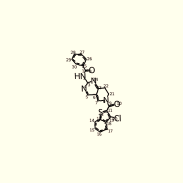 O=C(NC1N=CC2=CN(C(=O)c3sc4ccccc4c3Cl)CCC2=N1)c1ccccc1